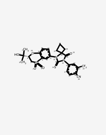 CC(C)(O)[C@H]1CS(=O)(=O)c2cc(N3C(=S)N(c4ccc(C#N)c(C(F)(F)F)c4)C(=O)C34CCC4)ccc2O1